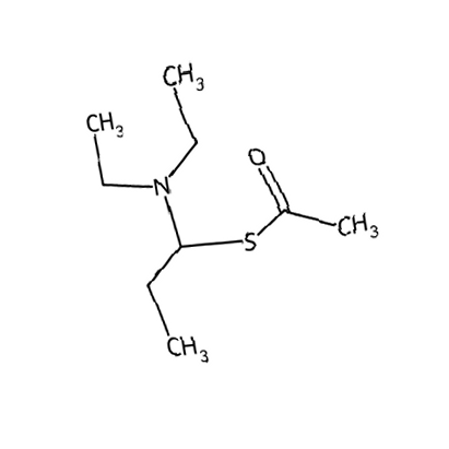 CCC(SC(C)=O)N(CC)CC